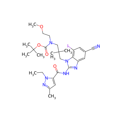 CCn1nc(C)cc1C(=O)Nc1nc2cc(C#N)cc(I)c2n1CC(C)(C)CN(CCOC)C(=O)OC(C)(C)C